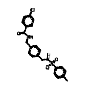 Cc1ccc(S(=O)(=O)NCc2ccc(CNC(=O)c3ccc(Cl)cc3)cc2)cc1